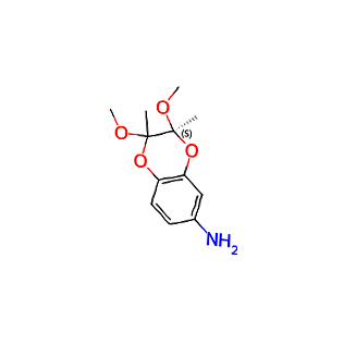 COC1(C)Oc2ccc(N)cc2O[C@]1(C)OC